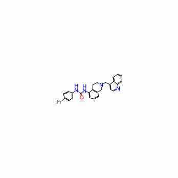 CC(C)c1ccc(NC(=O)Nc2cccc3c2CCN(Cc2ccnc4ccccc24)C3)cc1